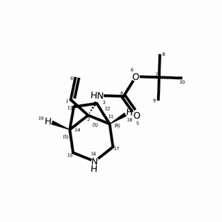 C=C[C@@]1(NC(=O)OC(C)(C)C)[C@@H]2CC[C@H]1CNC2